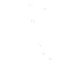 COC(CC(=O)N[C@H]1CC[C@H](CCN2CCN(c3noc4cc(F)c(Cl)cc34)CC2)CC1)OC